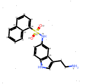 NCCc1c[nH]c2ccc(NS(=O)(=O)c3cccc4ccccc34)cc12